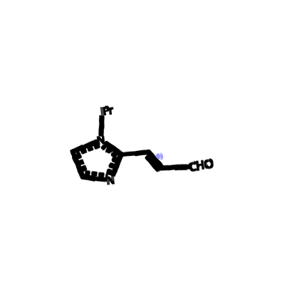 CC(C)n1ccnc1/C=C/C=O